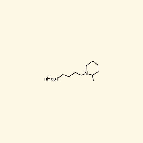 CCCCCCCCCCCN1CCCCC1C